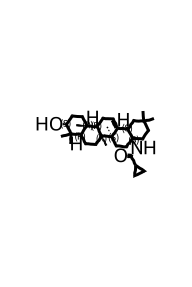 CC1(C)CC[C@]2(NC(=O)C3CC3)CC[C@]3(C)C(=CC[C@@H]4[C@@]5(C)CC[C@H](O)C(C)(C)[C@@H]5CC[C@]43C)[C@@H]2C1